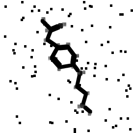 COCCOc1ccc(CC(C)=O)cc1